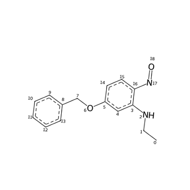 CCNc1cc(OCc2ccccc2)ccc1N=O